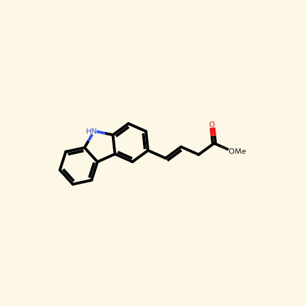 COC(=O)C/C=C/c1ccc2[nH]c3ccccc3c2c1